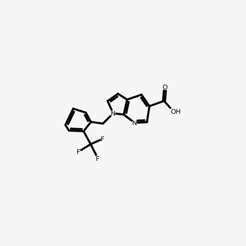 O=C(O)c1cnc2c(ccn2Cc2ccccc2C(F)(F)F)c1